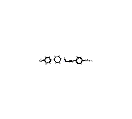 CCCCCc1ccc(C#C/C=C/[C@H]2CC[C@H](c3ccc(CC)cc3)CC2)cc1